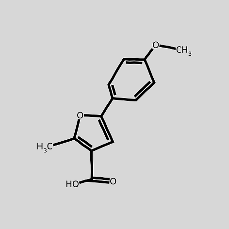 COc1ccc(-c2cc(C(=O)O)c(C)o2)cc1